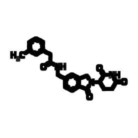 Cc1cccc(CC(=O)NCc2ccc3c(c2)CN(C2CCC(=O)NC2=O)C3=O)c1